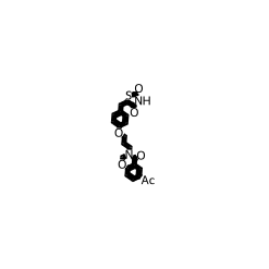 CC(=O)c1ccc2c(c1)C(=O)N(CCCOc1ccc(CC3SC(=O)NC3=O)cc1)CO2